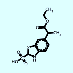 CCOC(=O)C(C)c1ccc2c(c1)SC(S(=O)(=O)O)N2